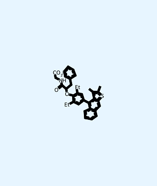 CCc1cc(-c2c3ccccc3cc3sc(C)c(C)c23)cc(CC)c1OC(Cc1ccccc1)C(=O)NCC(=O)O